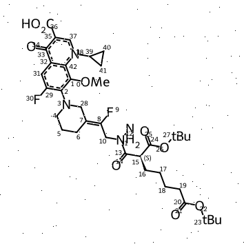 COc1c(N2CCCC(=C(F)CN(N)C(=O)[C@H](CCCCC(=O)OC(C)(C)C)C(=O)OC(C)(C)C)C2)c(F)cc2c(=O)c(C(=O)O)cn(C3CC3)c12